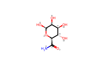 NC(=O)[C@H]1O[C@@H](O)[C@@H](O)[C@@H](O)[C@@H]1O